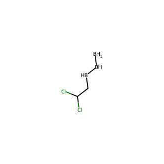 BBBCC(Cl)Cl